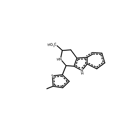 Cc1ccc(C2NC(C(=O)O)Cc3c2[nH]c2ccccc32)s1